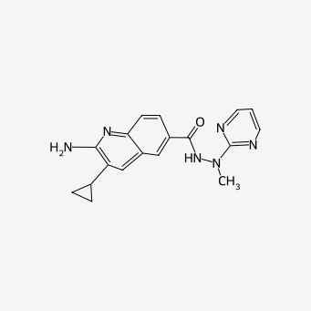 CN(NC(=O)c1ccc2nc(N)c(C3CC3)cc2c1)c1ncccn1